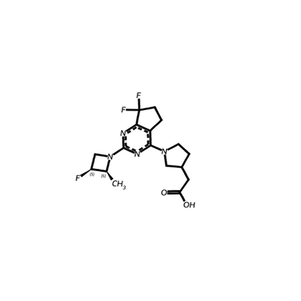 C[C@H]1[C@@H](F)CN1c1nc(N2CCC(CC(=O)O)C2)c2c(n1)C(F)(F)CC2